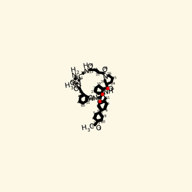 CC(=O)c1ccc(-c2ccc(C[C@@H]3NC(=O)[C@]4(Cc5ccccc5)CCCN(C4)C(=O)/C=C/C(=O)NCC[C@@H](C(N)=O)N(C)C(=O)Cc4ccccc4CNC3=O)cc2)cc1